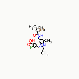 CCCc1nc2c(C)cc(CNC(=O)[C@H](CS)CC(C)C)cc2n1Cc1ccc(C(=O)O)c(F)c1